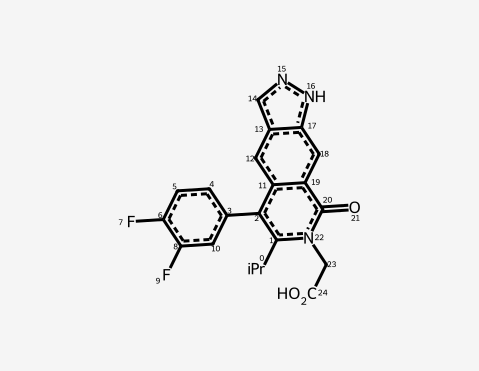 CC(C)c1c(-c2ccc(F)c(F)c2)c2cc3cn[nH]c3cc2c(=O)n1CC(=O)O